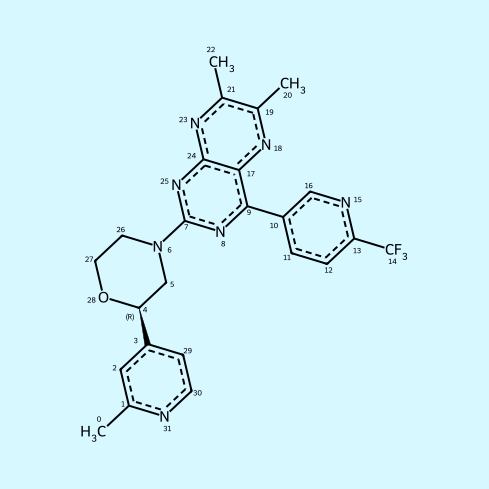 Cc1cc([C@@H]2CN(c3nc(-c4ccc(C(F)(F)F)nc4)c4nc(C)c(C)nc4n3)CCO2)ccn1